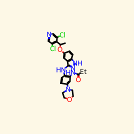 CCC(=O)Nc1cc(N2CCOCC2)ccc1Nc1n[nH]c2ccc(OC(C)c3c(Cl)cncc3Cl)cc12